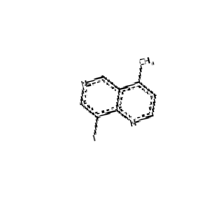 Cc1ccnc2c(I)cncc12